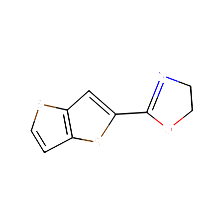 c1cc2sc(C3=NCCO3)cc2s1